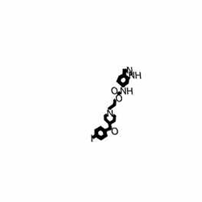 O=C(Nc1ccc2cn[nH]c2c1)OCCCN1CCC(C(=O)c2ccc(I)cc2)CC1